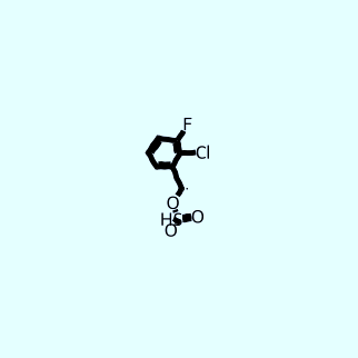 O=[SH](=O)O[CH]c1cccc(F)c1Cl